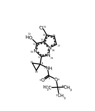 CC(C)(C)OC(=O)NC1(c2nc(O)c3c(Cl)ccn3n2)CC1